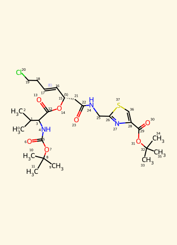 CC(C)C(NC(=O)OC(C)(C)C)C(=O)O[C@H](/C=C/CCCl)CC(=O)NCc1nc(C(=O)OC(C)(C)C)cs1